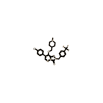 CN1CCC(COc2c(-c3ccc(Cl)cc3)cnn3c(=O)n(Cc4ccc(C(F)(F)F)cc4)nc23)CC1